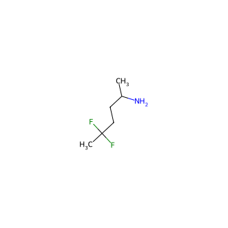 CC(N)CCC(C)(F)F